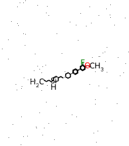 C=CCCC[SiH]1CCC(CC[C@H]2CC[C@H](c3ccc(-c4ccc(OCC)c(F)c4)cc3)CC2)CC1